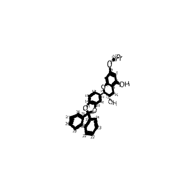 CC(C)Oc1cc(O)c2c(c1)O[C@H](c1ccc3c(c1)OC(c1ccccc1)(c1ccccc1)O3)[C@@H](O)C2